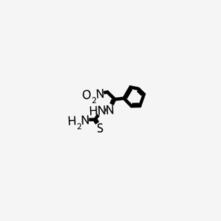 NC(=S)NN=C(C[N+](=O)[O-])c1ccccc1